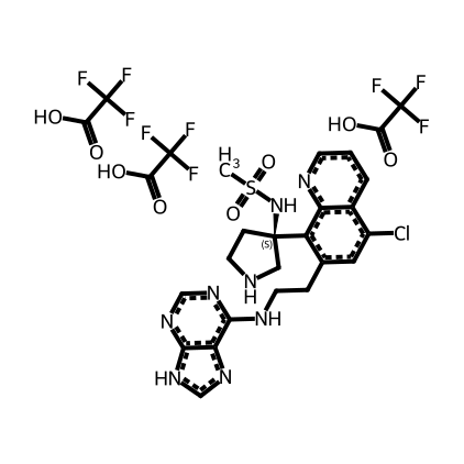 CS(=O)(=O)N[C@]1(c2c(CCNc3ncnc4[nH]cnc34)cc(Cl)c3cccnc23)CCNC1.O=C(O)C(F)(F)F.O=C(O)C(F)(F)F.O=C(O)C(F)(F)F